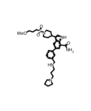 COCCCS(=O)(=O)N1CCC(c2c[nH]c3c(C(N)=O)cc(-c4cccc(CNCCCN5CCCC5)c4)cc23)CC1